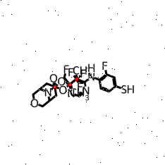 Cc1c(Nc2ccc(S)cc2F)ncnc1OC1CC2COCC(C1)N2C(=O)OC(C)(CF)C(F)(F)F